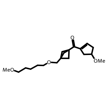 COCCCCCOCC12CC(C(=O)C3=CCC(OC)C3)(C1)C2